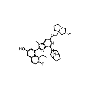 CCc1c(F)ccc2cc(O)cc(-c3nc4c(N5CC6CCC(C5)N6)nc(OC[C@@]56CCCN5C[C@H](F)C6)cc4n3C)c12